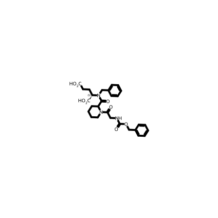 O=C(O)CC[C@@H](C(=O)O)N(Cc1ccccc1)C(=O)C1CCCCN1C(=O)CNC(=O)OCc1ccccc1